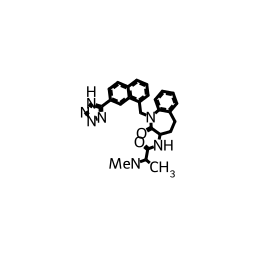 CNC(C)C(=O)NC1CCc2ccccc2N(Cc2cccc3ccc(-c4nnn[nH]4)cc23)C1=O